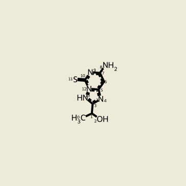 CC(O)c1nc2cc(N)nc(=S)n2[nH]1